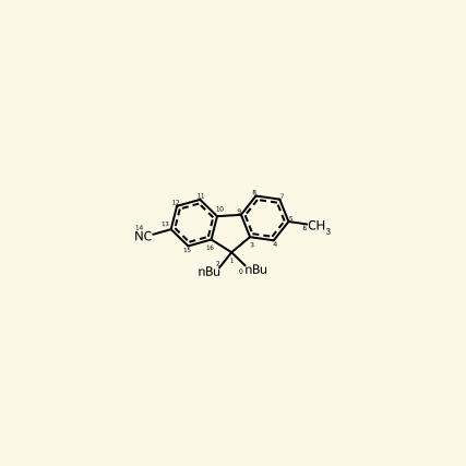 CCCCC1(CCCC)c2cc(C)ccc2-c2ccc(C#N)cc21